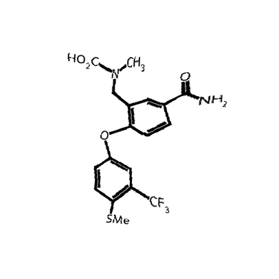 CSc1ccc(Oc2ccc(C(N)=O)cc2CN(C)C(=O)O)cc1C(F)(F)F